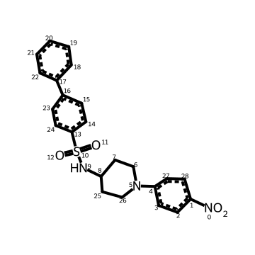 O=[N+]([O-])c1ccc(N2CCC(NS(=O)(=O)c3ccc(-c4ccccc4)cc3)CC2)cc1